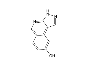 Oc1ccc2cnc3[nH]ncc3c2c1